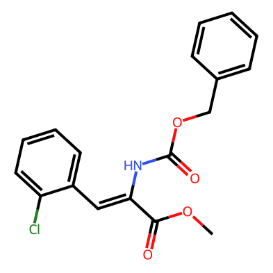 COC(=O)/C(=C/c1ccccc1Cl)NC(=O)OCc1ccccc1